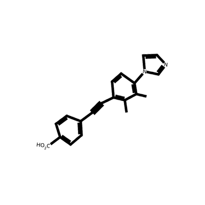 Cc1c(C#Cc2ccc(C(=O)O)cc2)ccc(-n2ccnc2)c1C